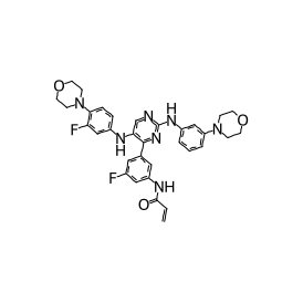 C=CC(=O)Nc1cc(F)cc(-c2nc(Nc3cccc(N4CCOCC4)c3)ncc2Nc2ccc(N3CCOCC3)c(F)c2)c1